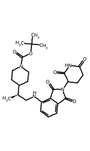 C[C@H](CNc1cccc2c1C(=O)N(C1CCC(=O)NC1=O)C2=O)C1CCN(C(=O)OC(C)(C)C)CC1